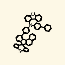 c1ccc(-c2ccc(N(c3ccc(-c4cccc5c4-c4c(ccc6ccccc46)C54c5ccccc5Sc5ccccc54)cc3)c3cccc4oc5ccccc5c34)cc2)cc1